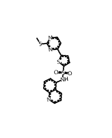 CSc1nccc(-c2ccc(S(=O)(=O)Nc3cccc4ncccc34)s2)n1